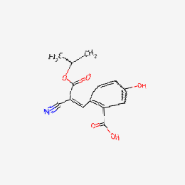 CC(C)OC(=O)C(C#N)=Cc1ccc(O)cc1C(=O)O